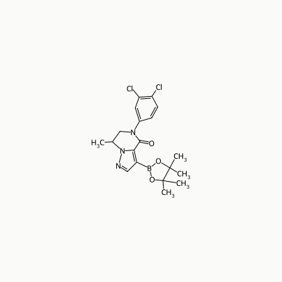 CC1CN(c2ccc(Cl)c(Cl)c2)C(=O)c2c(B3OC(C)(C)C(C)(C)O3)cnn21